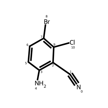 N#Cc1c(N)ccc(Br)c1Cl